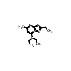 CCc1nc2nc(C)cc(N(CC)CC)n2n1